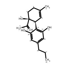 C=C(C)[C@]1(O)CCC(C)=C[C@H]1c1c(O)cc(CCC)cc1O